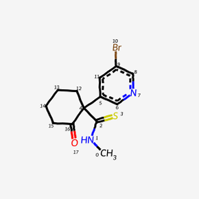 CNC(=S)C1(c2cncc(Br)c2)CCCCC1=O